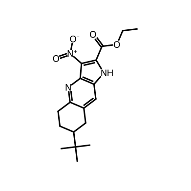 CCOC(=O)c1[nH]c2cc3c(nc2c1[N+](=O)[O-])CCC(C(C)(C)C)C3